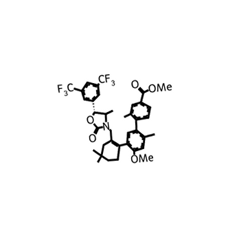 COC(=O)c1ccc(-c2cc(C3=C(CN4C(=O)O[C@H](c5cc(C(F)(F)F)cc(C(F)(F)F)c5)C4C)CC(C)(C)CC3)c(OC)cc2C)c(C)c1